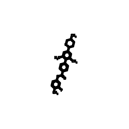 Cc1ccc(OC(=O)c2ccc(-c3c(C)cc(C4CCC(C)CO4)cc3C)cc2)cc1F